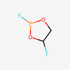 FC1COP(F)O1